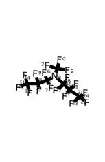 FC(F)(F)N(C(F)(F)C(F)(F)C(F)(F)F)C(F)(F)C(F)(F)C(F)(F)F